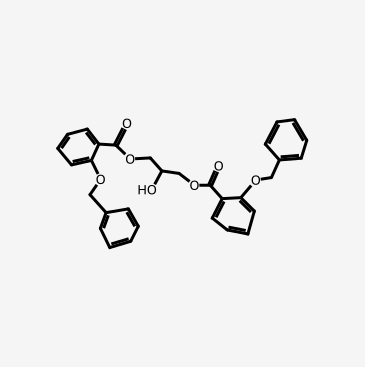 O=C(OCC(O)COC(=O)c1ccccc1OCc1ccccc1)c1ccccc1OCc1ccccc1